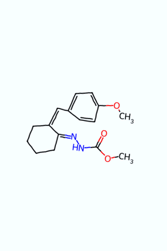 COC(=O)NN=C1CCCCC1=Cc1ccc(OC)cc1